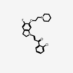 O=C(/C=C/N1CCc2cc(F)c(OCCN3CCCCC3)cc21)c1ccccc1Cl